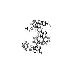 COc1cc(C(=O)N2Cc3ccc(C(=O)N(C)CCc4ccncc4)n3Cc3ccccc32)ccc1-n1c(C)ccc1C